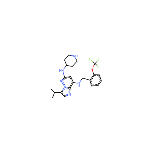 CC(C)c1cnc2c(NCc3ccccc3OC(F)(F)F)cc(NC3CCNCC3)nn12